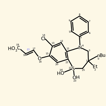 CCCCC1(CC)CN(c2ccccc2)c2cc(Cl)c(O/C=C/C(=O)O)cc2S(O)(O)C1